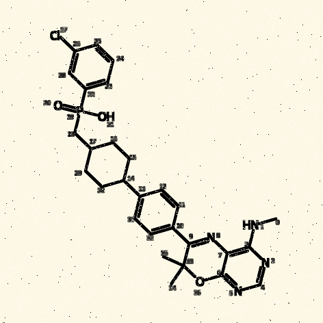 CNc1ncnc2c1N=C(c1ccc(C3CCC(CP(=O)(O)c4cccc(Cl)c4)CC3)cc1)C(C)(C)O2